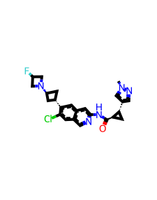 Cn1cc([C@@H]2C[C@H]2C(=O)Nc2cc3cc([C@H]4C[C@H](N5CC(F)C5)C4)c(Cl)cc3cn2)cn1